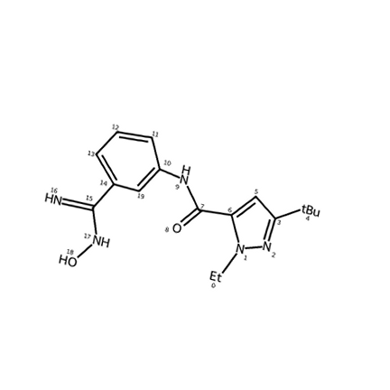 CCn1nc(C(C)(C)C)cc1C(=O)Nc1cccc(C(=N)NO)c1